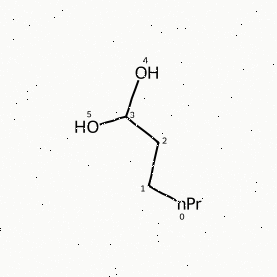 [CH2]CCCCC(O)O